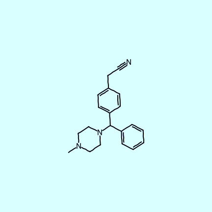 CN1CCN(C(c2ccccc2)c2ccc(CC#N)cc2)CC1